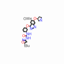 COc1cc2c(Oc3cccc(NC(=O)Nc4cc(C(C)(C)C)on4)c3)ncnc2cc1OC1CCN(C)C1